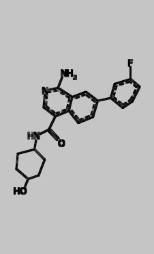 Nc1ncc(C(=O)NC2CCC(O)CC2)c2ccc(-c3cccc(F)c3)cc12